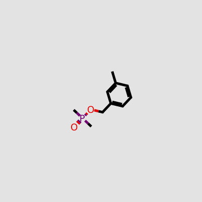 Cc1cccc(COP(C)(C)=O)c1